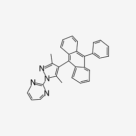 Cc1nn(-c2ncccn2)c(C)c1-c1c2ccccc2c(-c2ccccc2)c2ccccc12